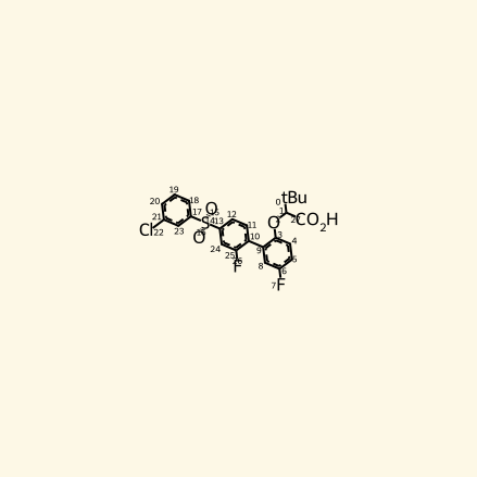 CC(C)(C)C(Oc1ccc(F)cc1-c1ccc(S(=O)(=O)c2cccc(Cl)c2)cc1F)C(=O)O